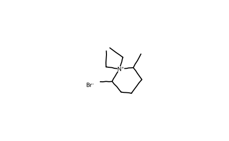 CC[N+]1(CC)C(C)CCCC1C.[Br-]